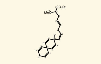 CCOC(=O)C(C/C=C/C/C=C\C1(C)C=CC2(C=CCC=C2)C=C1)OC